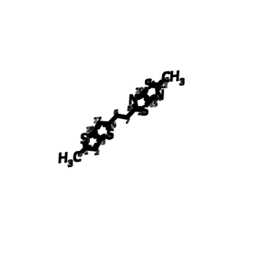 Cc1cc2sc(CCc3nc4sc(C)nc4s3)cc2s1